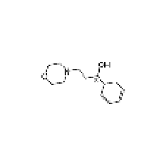 O[C@H](CCN1CCOCC1)C1C=CC=CC1